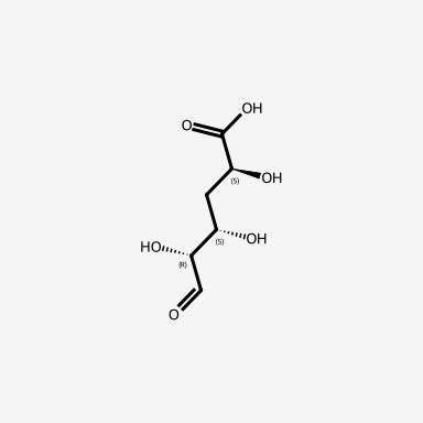 O=C[C@H](O)[C@@H](O)C[C@H](O)C(=O)O